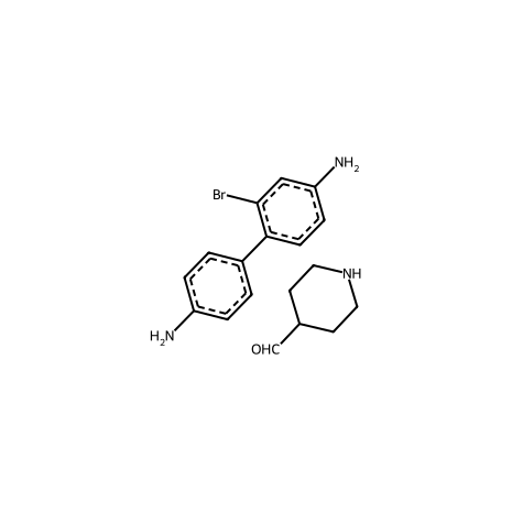 Nc1ccc(-c2ccc(N)cc2Br)cc1.O=CC1CCNCC1